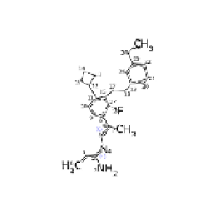 C=C/C(N)=N\C=C(/C)c1ccc(C2CCC2)c(CCc2cccc(CC)c2)c1F